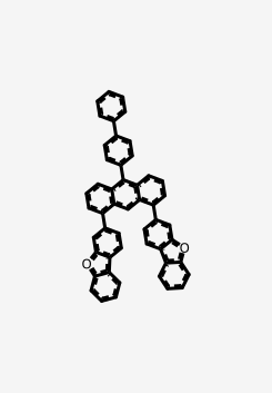 c1ccc(-c2ccc(-c3c4cccc(-c5ccc6c(c5)oc5ccccc56)c4cc4c(-c5ccc6c(c5)oc5ccccc56)cccc34)cc2)cc1